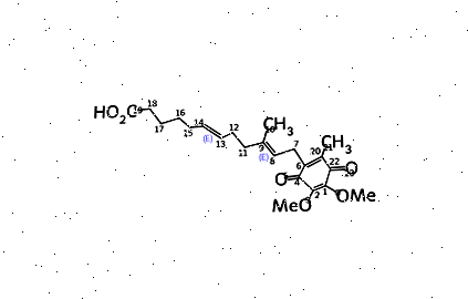 COC1=C(OC)C(=O)C(C/C=C(\C)CC/C=C/CCCCC(=O)O)=C(C)C1=O